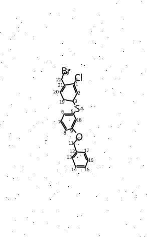 ClC1=CC(Sc2cccc(OCc3ccccc3)c2)CC=C1CBr